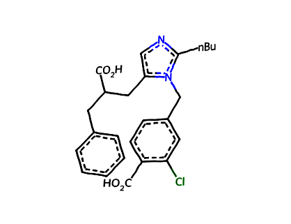 CCCCc1ncc(CC(Cc2ccccc2)C(=O)O)n1Cc1ccc(C(=O)O)c(Cl)c1